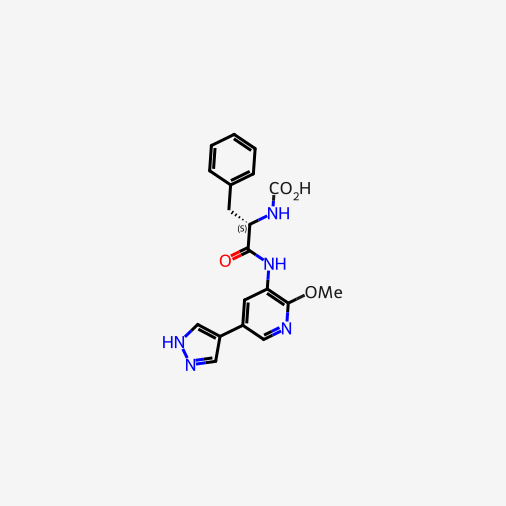 COc1ncc(-c2cn[nH]c2)cc1NC(=O)[C@H](Cc1ccccc1)NC(=O)O